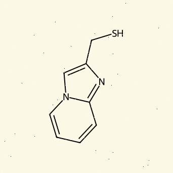 SCc1cn2ccccc2n1